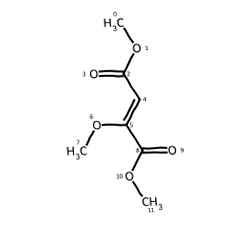 COC(=O)C=C(OC)C(=O)OC